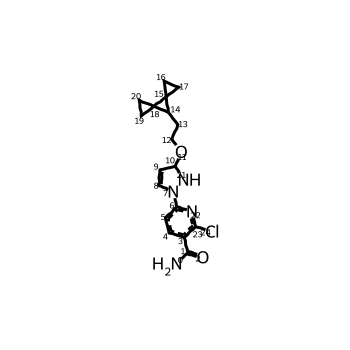 NC(=O)c1ccc(N2C=CC(OCCC3C4(CC4)C34CC4)N2)nc1Cl